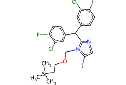 C[Si](C)(C)CCOCn1c(I)cnc1C(c1ccc(F)c(Cl)c1)c1ccc(F)c(Cl)c1